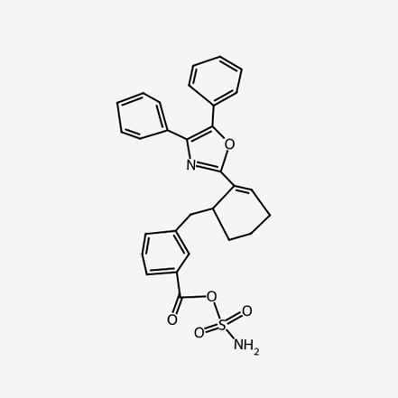 NS(=O)(=O)OC(=O)c1cccc(CC2CCCC=C2c2nc(-c3ccccc3)c(-c3ccccc3)o2)c1